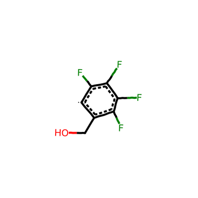 OCc1[c]c(F)c(F)c(F)c1F